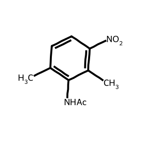 CC(=O)Nc1c(C)ccc([N+](=O)[O-])c1C